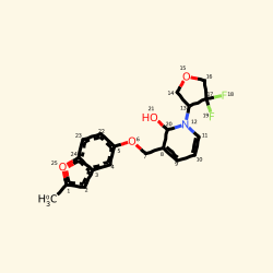 Cc1cc2cc(OCC3=CC=CN(C4COCC4(F)F)C3O)ccc2o1